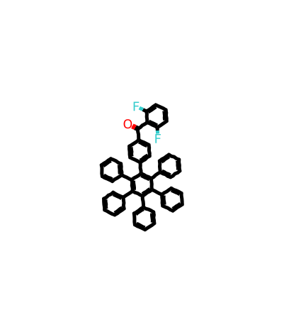 O=C(c1ccc(-c2c(-c3ccccc3)c(-c3ccccc3)c(-c3ccccc3)c(-c3ccccc3)c2-c2ccccc2)cc1)c1c(F)cccc1F